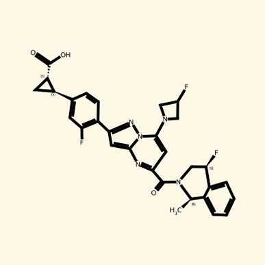 C[C@@H]1c2ccccc2[C@H](F)CN1C(=O)c1cc(N2CC(F)C2)n2nc(-c3ccc([C@H]4C[C@@H]4C(=O)O)cc3F)cc2n1